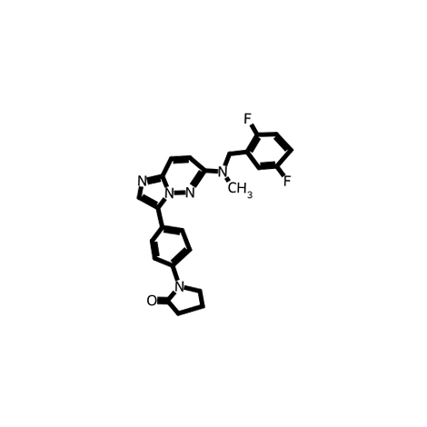 CN(Cc1cc(F)ccc1F)c1ccc2ncc(-c3ccc(N4CCCC4=O)cc3)n2n1